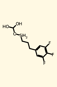 OC(O)O[SiH2]CCCc1cc(F)c(F)c(F)c1